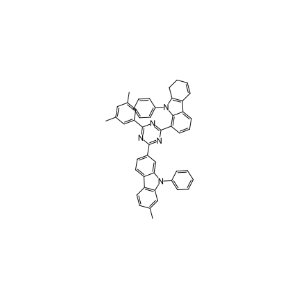 Cc1cc(C)cc(-c2nc(-c3ccc4c5ccc(C)cc5n(-c5ccccc5)c4c3)nc(-c3cccc4c5c(n(-c6ccccc6)c34)CCC=C5)n2)c1